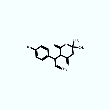 C=CC(c1ccc(O)cc1)C1C(=O)CC(C)(C)OC1=O